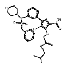 CC(C)COC(=O)COc1c(C(=O)O)sc(-c2cccc(N(C3CCNCC3)S(=O)(=O)Cc3ccccc3)c2)c1Br